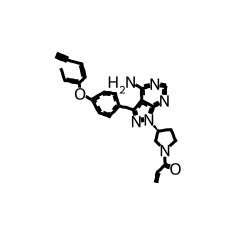 C#C/C=C\C(=C/C)Oc1ccc(-c2nn([C@H]3CCN(C(=O)C=C)C3)c3ncnc(N)c23)cc1